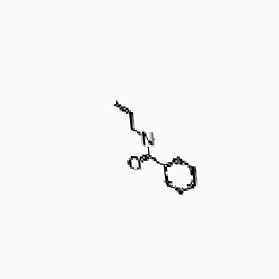 C=CC[N]C(=O)c1ccccc1